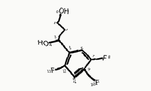 OCCC(O)c1cc(F)c(F)cc1F